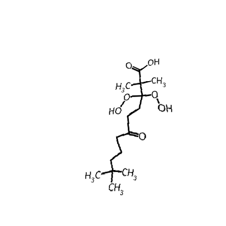 CC(C)(C)CCCC(=O)CCC(OO)(OO)C(C)(C)C(=O)O